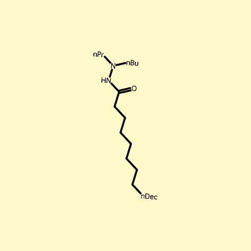 CCCCCCCCCCCCCCCCCC(=O)NN(CCC)CCCC